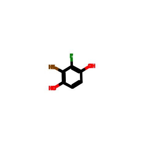 Oc1ccc(O)c(S)c1F